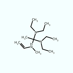 C=C[SiH](C)C(C)(N(CC)CC)N(CC)CC